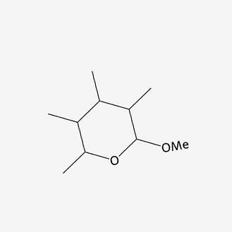 COC1OC(C)C(C)C(C)C1C